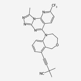 Cc1nnc2nc(N3CCOCc4c(C#CC(C)(C)C#N)cccc43)c3ccc(C(F)(F)F)nc3n12